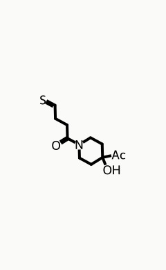 CC(=O)C1(O)CCN(C(=O)CCC=S)CC1